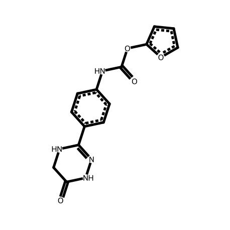 O=C1CNC(c2ccc(NC(=O)Oc3ccco3)cc2)=NN1